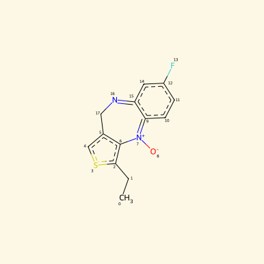 CCc1scc2c1[N+]([O-])=c1ccc(F)cc1=NC2